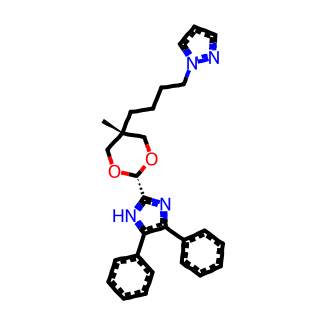 C[C@]1(CCCCn2cccn2)CO[C@@H](c2nc(-c3ccccc3)c(-c3ccccc3)[nH]2)OC1